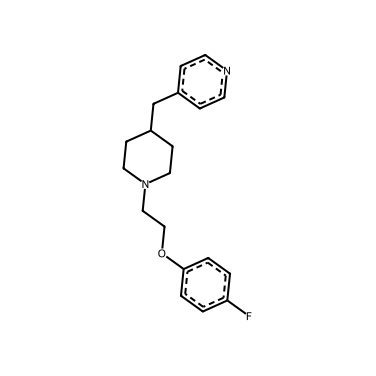 Fc1ccc(OCCN2CCC(Cc3ccncc3)CC2)cc1